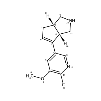 COc1cc(C2=CC[C@@H]3CNC[C@H]23)cnc1Cl